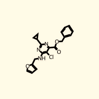 O=C(OCc1ccccc1)c1nc(C2CC2)nc(NCc2ccco2)c1Cl